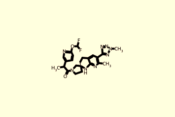 Cc1nc2c(cc1-c1nnn(C)n1)CC[C@@]1(CCN(C(=O)C(C)c3ccc(OC(F)F)nc3)C1)N2